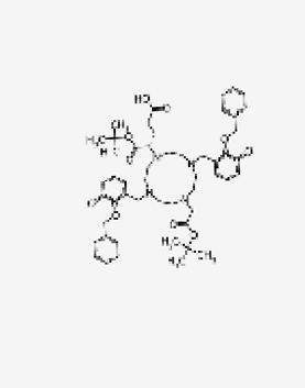 CC(C)(C)OC(=O)CN1CCN(Cc2cccc(=O)n2OCc2ccccc2)CCN([C@@H](CCC(=O)O)C(=O)OC(C)(C)C)CCN(Cc2cccc(=O)n2OCc2ccccc2)CC1